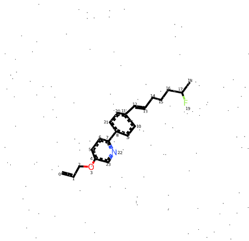 C=CCOc1ccc(-c2ccc(/C=C/CCCC(C)F)cc2)nc1